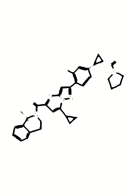 C[C@@H]1c2ccccc2CCN1C(=O)c1cc(C2CC2)n2nc(-c3ccc([C@H]4C[C@@H]4C(=O)N4CCCC4)cc3F)cc2n1